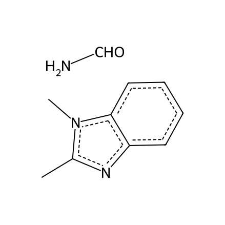 Cc1nc2ccccc2n1C.NC=O